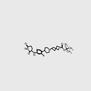 CC(C)(C)OC(=O)N1CC2(CC(N3CCC(c4ccc(NC5CCC(=O)NC5=O)cc4F)CC3)C2)C1